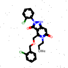 COCCn1c(COCc2ccccc2Cl)c2c(=O)n(-c3ccccc3Cl)[nH]c2cc1=O